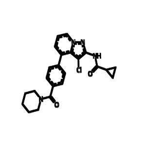 O=C(Nc1nn2cccc(-c3ccc(C(=O)N4CCCCC4)cc3)c2c1Cl)C1CC1